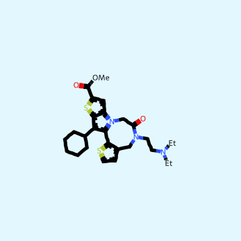 CCN(CC)CCN1Cc2ccsc2-c2c(C3CCCCC3)c3sc(C(=O)OC)cc3n2CC1=O